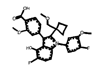 COCC1(c2c(-c3ccc(C(=O)O)c(OC)c3)c3c(O)c(F)ccc3n2-c2ccc(F)c(OC)c2)CCC1